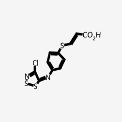 O=C(O)C=CSc1ccc(N=c2ssnc2Cl)cc1